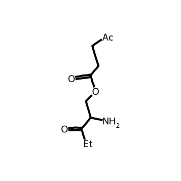 CCC(=O)C(N)COC(=O)CCC(C)=O